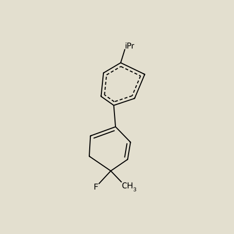 CC(C)c1ccc(C2=CCC(C)(F)C=C2)cc1